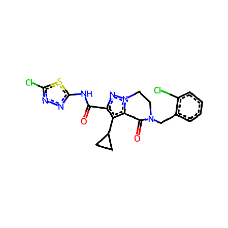 O=C(Nc1nnc(Cl)s1)c1nn2c(c1C1CC1)C(=O)N(Cc1ccccc1Cl)CC2